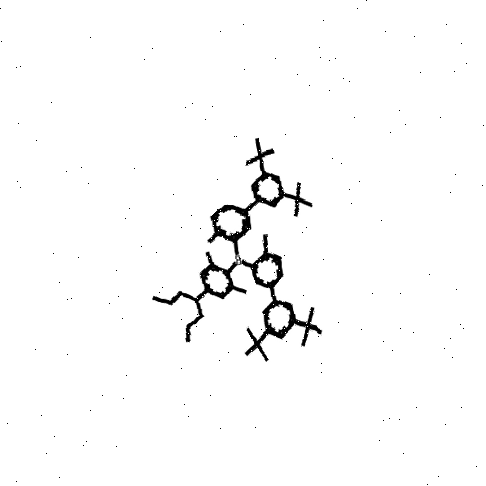 CCCC(CCC)c1cc(C)c(B(c2cc(-c3cc(C(C)(C)C)cc(C(C)(C)C)c3)ccc2C)c2cc(-c3cc(C(C)(C)C)cc(C(C)(C)C)c3)ccc2C)c(C)c1